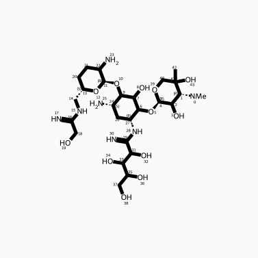 CN[C@@H]1C(O)[C@@H](OC2C(O)C(O[C@H]3O[C@H](CNC(=N)CO)CCC3N)[C@@H](N)C[C@H]2NC(=N)C(O)C(O)C(O)CO)OCC1(C)O